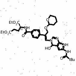 CCOC(=O)CC[C@H](NC(=O)c1ccc(C(=CN2C=Nc3[nH]c(NC(=O)C(C)(C)C)cc3C2O)COC2CCCCO2)cc1)C(=O)OCC